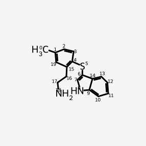 Cc1ccc(Sc2c[nH]c3ccccc23)c(CCN)c1